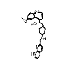 COc1ccc2nccc([C@@H](O)CN3CCC(NCc4ccc5c(n4)NCCC5)CC3)c2c1